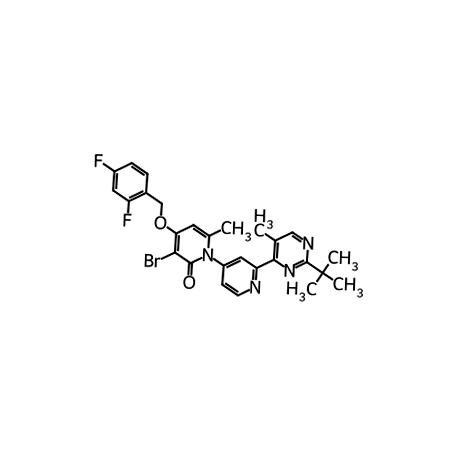 Cc1cnc(C(C)(C)C)nc1-c1cc(-n2c(C)cc(OCc3ccc(F)cc3F)c(Br)c2=O)ccn1